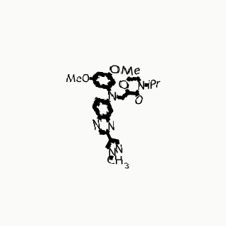 COc1cc(OC)cc(N(CC2OCCN(C(C)C)C2=O)c2ccc3ncc(-c4cnn(C)c4)nc3c2)c1